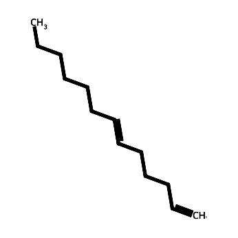 [CH]=CCCCC=CCCCCCC